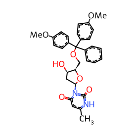 COc1ccc(C(OC[C@H]2O[C@@H](n3c(=O)cc(C)[nH]c3=O)C[C@H]2O)(c2ccccc2)c2ccc(OC)cc2)cc1